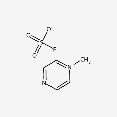 C[n+]1ccncc1.O=S(=O)([O-])F